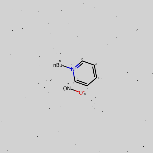 CCCC[n+]1ccccc1.O=[NH+][O-]